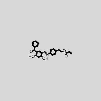 C=CC(=O)OCCc1ccc(/N=N/c2cc(C(=O)c3ccccc3)c(O)cc2O)cc1